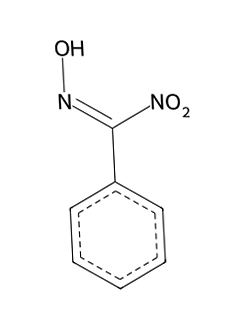 O=[N+]([O-])C(=NO)c1ccccc1